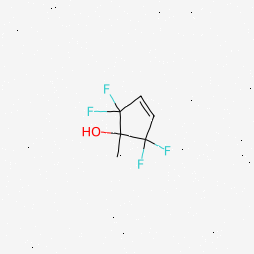 CC1(O)C(F)(F)C=CC1(F)F